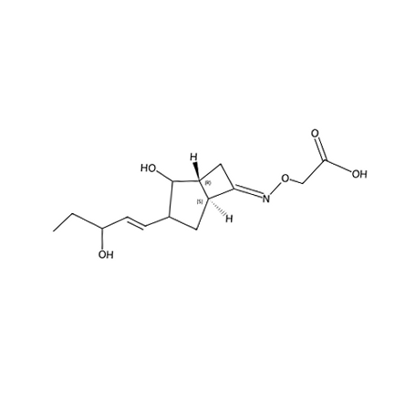 CCC(O)C=CC1C[C@@H]2C(=NOCC(=O)O)C[C@H]2C1O